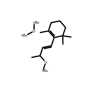 CCCCOC(C)/C=C/C1=C(C)CCCC1(C)C.CCCCOCCCC